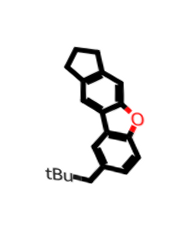 CC(C)(C)Cc1ccc2oc3cc4c(cc3c2c1)CCC4